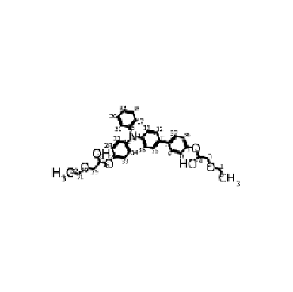 CCOCC(O)Oc1ccc(-c2ccc(N(c3ccccc3)c3ccc(OC(O)COCC)cc3)cc2)cc1